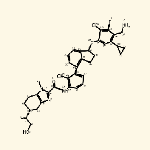 CC(CO)N1CCc2c(nc(C(=O)Nc3cccc(-c4cccc5c4CCC5Oc4cc(C5CC5)c(CN)c(F)c4Cl)c3Cl)n2C)C1